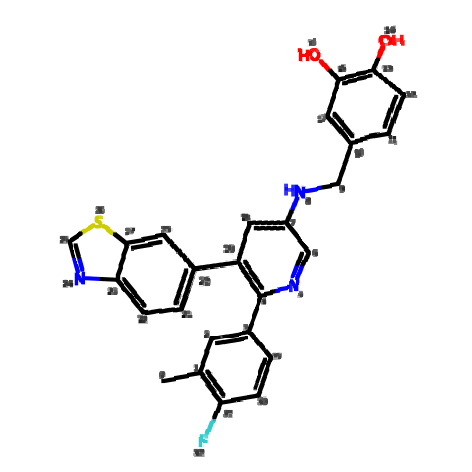 Cc1cc(-c2ncc(NCc3ccc(O)c(O)c3)cc2-c2ccc3ncsc3c2)ccc1F